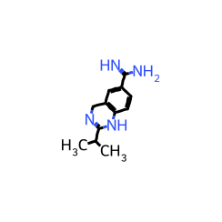 CC(C)C1=NCc2cc(C(=N)N)ccc2N1